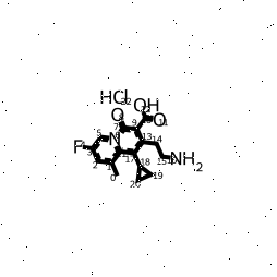 Cc1cc(F)cn2c(=O)c(C(=O)O)c(CCN)c(C3CC3)c12.Cl